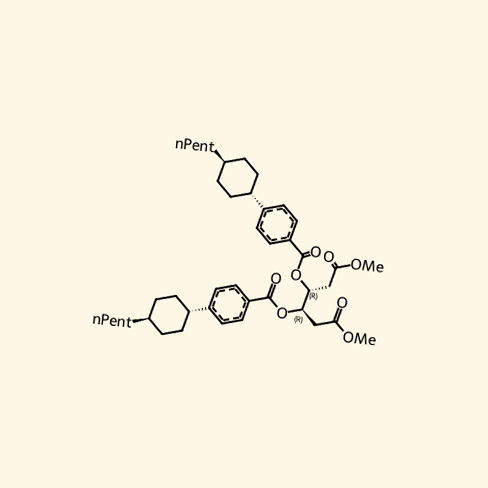 CCCCC[C@H]1CC[C@H](c2ccc(C(=O)O[C@H](CC(=O)OC)[C@@H](CC(=O)OC)OC(=O)c3ccc([C@H]4CC[C@H](CCCCC)CC4)cc3)cc2)CC1